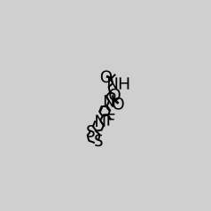 CC(=O)NCC1CN(c2ccc(N3CCC4(CC3)CSCCCS4)c(F)c2)C(=O)O1